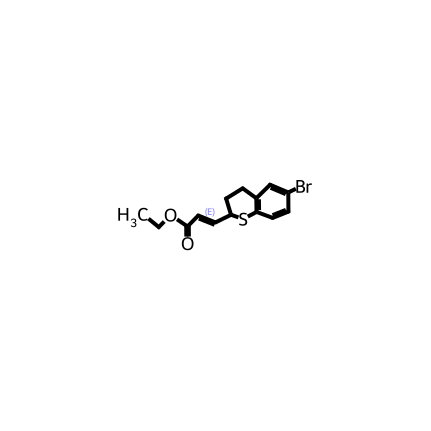 CCOC(=O)/C=C/C1CCc2cc(Br)ccc2S1